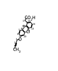 CC#CCOc1ccc(Sc2c(Cl)cccc2CC(=O)O)cc1